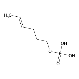 CC=CCCCOP(=O)(O)O